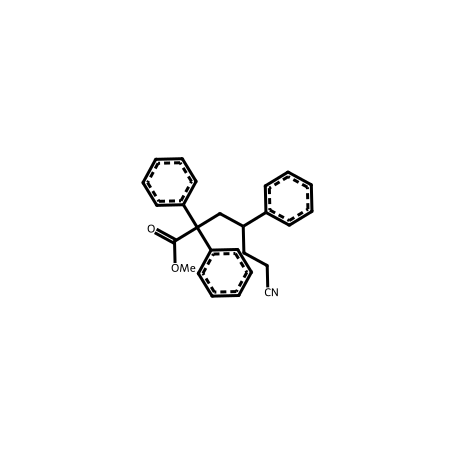 COC(=O)C(CC(CCC#N)c1ccccc1)(c1ccccc1)c1ccccc1